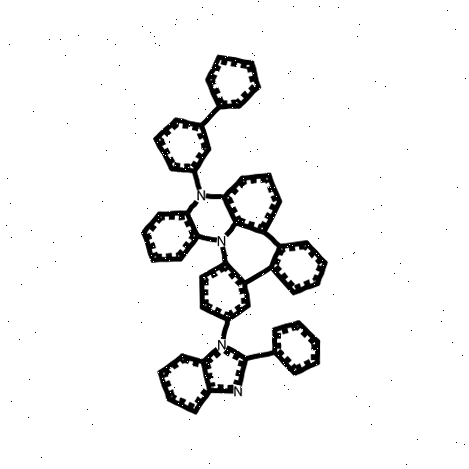 c1ccc(-c2cccc(N3c4ccccc4N4c5ccc(-n6c(-c7ccccc7)nc7ccccc76)cc5-c5ccccc5-c5cccc3c54)c2)cc1